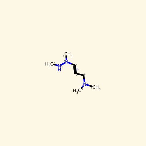 CNN(C)/C=C/CN(C)C